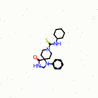 O=C1NCN(c2ccccc2)C12CCN(C(=S)NC1CCCCC1)CC2